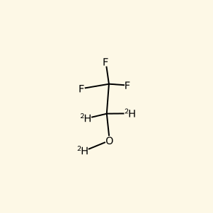 [2H]OC([2H])([2H])C(F)(F)F